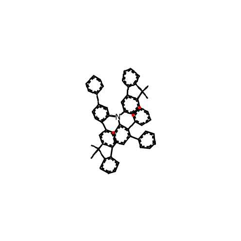 CC1(C)c2ccccc2-c2cc(N(c3cc(-c4ccccc4)ccc3-c3ccc4c(c3)C(C)(C)c3ccccc3-4)c3cccc(-c4ccccc4)c3-c3ccccc3)ccc21